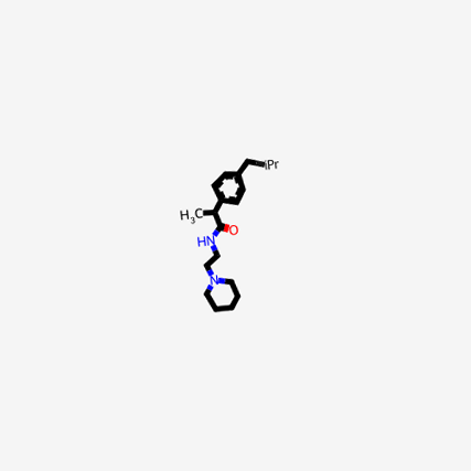 CC(C)Cc1ccc(C(C)C(=O)NCCN2CCCCC2)cc1